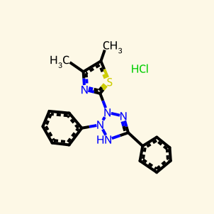 Cc1nc(N2N=C(c3ccccc3)NN2c2ccccc2)sc1C.Cl